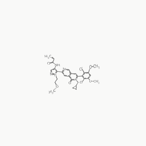 C=CC(=O)Nc1cnn(CCOC)c1-c1cc2c(=O)n(CC3CC3)c(-c3c(Cl)c(OC)cc(OC)c3Cl)cc2cn1